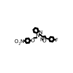 O=[N+]([O-])c1ccc(OCCn2c(-c3cc(-c4ccc(F)cc4)on3)nc3ccccc32)cc1